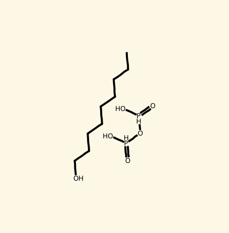 CCCCCCCCCO.O=[PH](O)O[PH](=O)O